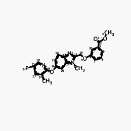 COC(=O)c1cccc(OCc2nc3ccc(Oc4ncc(F)cc4C)cc3n2C)c1